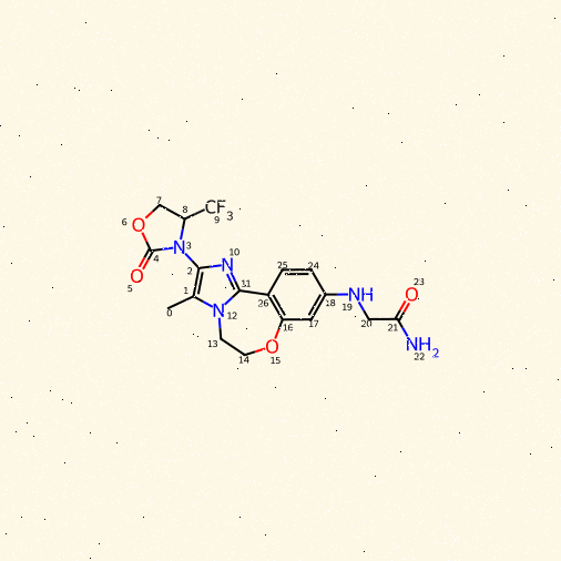 Cc1c(N2C(=O)OCC2C(F)(F)F)nc2n1CCOc1cc(NCC(N)=O)ccc1-2